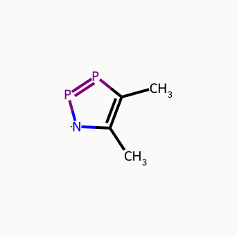 CC1=C(C)P=P[N]1